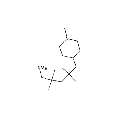 CNCC(C)(C)CC(C)(C)CC1CCN(C)CC1